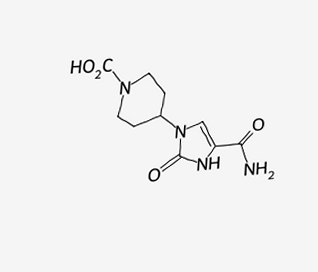 NC(=O)c1cn(C2CCN(C(=O)O)CC2)c(=O)[nH]1